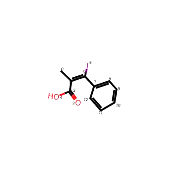 C/C(C(=O)O)=C(\I)c1ccccc1